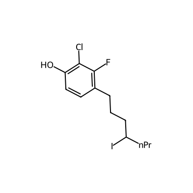 CCCC(I)CCCc1ccc(O)c(Cl)c1F